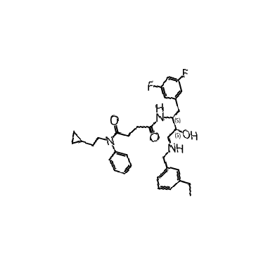 CCc1cccc(CNC[C@H](O)[C@H](Cc2cc(F)cc(F)c2)NC(=O)CCC(=O)N(CCC2CC2)c2ccccc2)c1